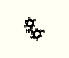 Cc1ccc(C)c(Nc2cccnc2)c1